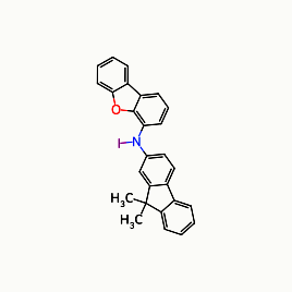 CC1(C)c2ccccc2-c2ccc(N(I)c3cccc4c3oc3ccccc34)cc21